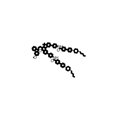 CCCCC[C@H]1CC[C@H](c2ccc(-c3ccc(C(=O)Nc4ccc(-c5ccc6c(c5)-c5c(c7c(c8ccc(-c9ccc(NC(=O)c%10ccc(-c%11ccc([C@H]%12CC[C@H](CCCCC)CC%12)cc%11)cc%10)cc9)cc58)OC(c5ccccc5)(c5ccc(OC)cc5)C=C7)C6(C)C)cc4)cc3)cc2)CC1